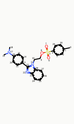 Cc1ccc(S(=O)(=O)OCCn2c(-c3ccc(N(C)C)cc3)nc3ccccc32)cc1